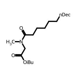 CCCCCCCCCCCCCCCC(=O)N(C)CC(=O)OCC(C)C